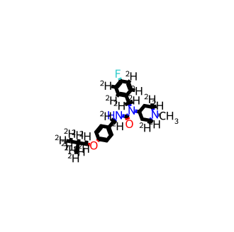 [2H]c1c([2H])c(C([2H])([2H])N(C(=O)NC([2H])([2H])c2ccc(OC([2H])([2H])C([2H])(C([2H])([2H])[2H])C([2H])([2H])[2H])cc2)C2CC([2H])([2H])N(C)C([2H])([2H])C2)c([2H])c([2H])c1F